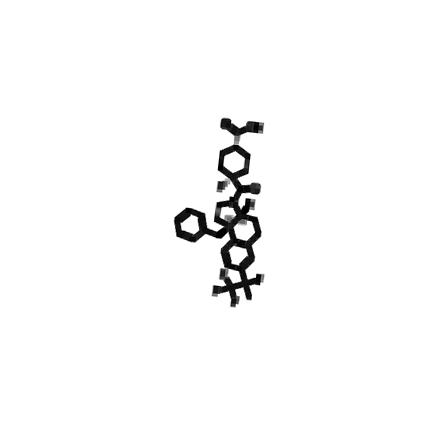 CC(F)(c1ccc2c(c1)CC[C@H]1N(C(=O)[C@]3(F)CC[C@@H](C(=O)O)CC3)CC[C@@]21Cc1ccccc1)C(F)(F)F